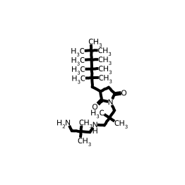 CC(C)(CN)CNCC(C)(C)CN1C(=O)CC(CC(C)(C)C(C)(C)C(C)(C)C(C)(C)C)C1=O